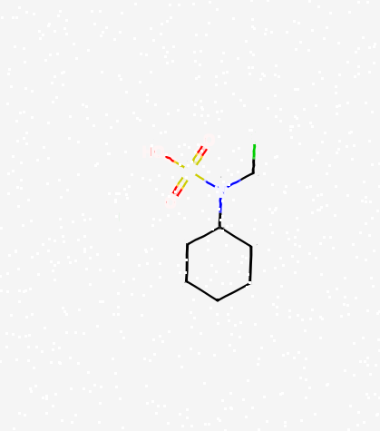 Cl.O=S(=O)(O)N(CCl)C1CCCCC1